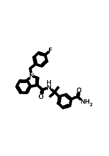 CC(C)(NC(=O)c1cn(Cc2ccc(F)cc2)c2ccccc12)c1cccc(C(N)=O)c1